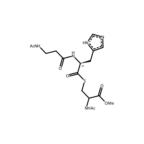 COC(=O)C(CSC(=O)[C@H](Cc1cnc[nH]1)NC(=O)CCNC(C)=O)NC(C)=O